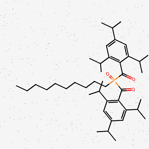 CCCCCCCCCCP(=O)(C(=O)c1c(C(C)C)cc(C(C)C)cc1C(C)C)C(=O)c1c(C(C)C)cc(C(C)C)cc1C(C)C